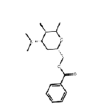 CC1O[C@H](COC(=O)c2ccccc2)C[C@H](N(C)C)[C@H]1C